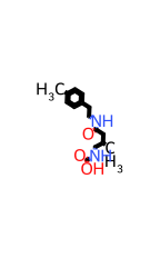 Cc1ccc(CCNC(=O)CC(C)CNC(=O)O)cc1